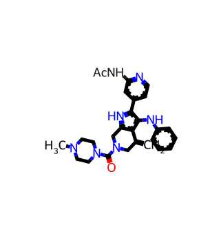 C=C1CN(C(=O)N2CCN(C)CC2)Cc2[nH]c(-c3ccnc(NC(C)=O)c3)c(Nc3ccccc3)c21